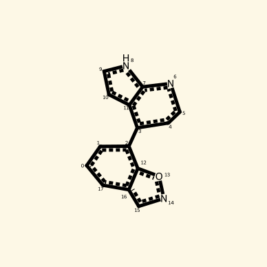 c1cc(-c2ccnc3[nH]ccc23)c2oncc2c1